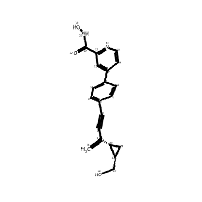 C=C(C#Cc1ccc(-c2ccnc(C(=O)NO)c2)cc1)[C@@H]1C[C@H]1CO